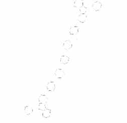 Cc1cc(C)cc(-n2c3ccccc3c3cc(-c4ccc5c(c4)C(C)(C)c4cc(-c6ccc7c(c6)C(C)(C)c6cc(-c8ccc(-c9ccc%10c(c9)c9ccccc9n%10-c9ccccc9)cc8)ccc6-7)ccc4-5)ccc32)c1